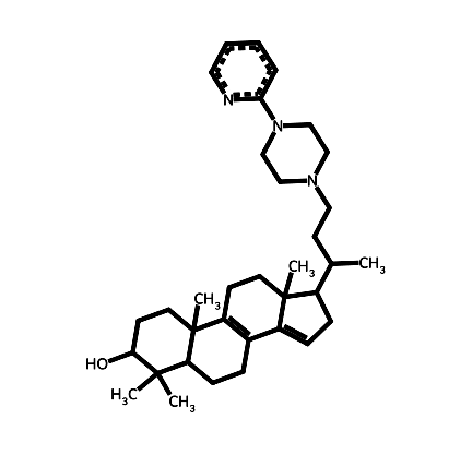 CC(CCN1CCN(c2ccccn2)CC1)C1CC=C2C3=C(CCC21C)C1(C)CCC(O)C(C)(C)C1CC3